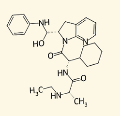 CCN[C@@H](C)C(=O)N[C@H](C(=O)N1c2ncccc2C[C@H]1C(O)Nc1ccccc1)C1CCCCC1